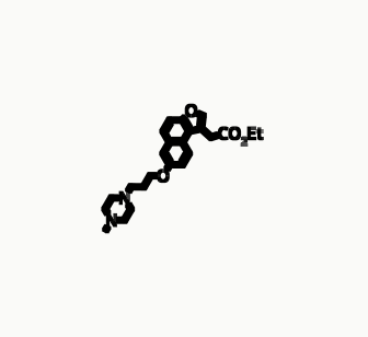 CCOC(=O)Cc1coc2ccc3cc(OCCCN4CCN(C)CC4)ccc3c12